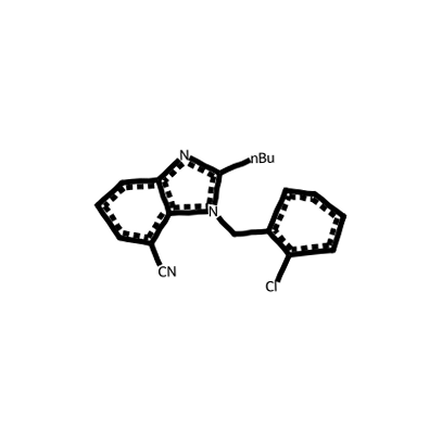 CCCCc1nc2cccc(C#N)c2n1Cc1ccccc1Cl